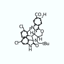 CC(C)(C)CN1[C@H]2COc3c4ccc(C(=O)O)cc4nn3[C@H]2[C@H](c2cccc(Cl)c2F)[C@]12C(=O)Nc1cc(Cl)ccc12